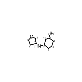 CC(C)[C@H]1CCC[C@@H](NC2CCOC2)C1